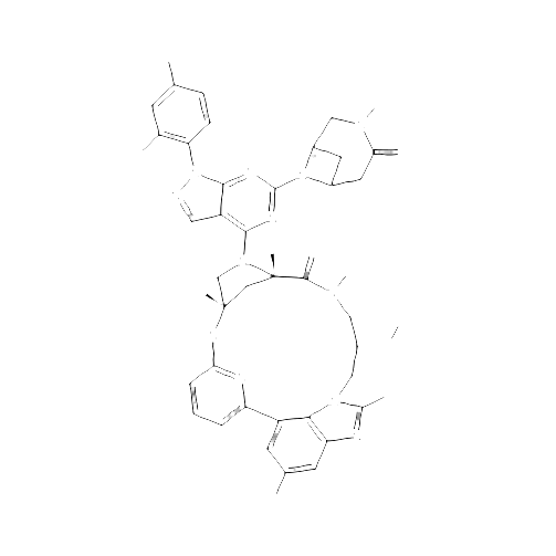 CO[C@H]1CN(C)C(=O)[C@@H]2C[C@@H](CN2c2nc(N3[C@@H]4CC(=O)N(C)C[C@H]3C4)nc3c2cnn3-c2ccc(F)cc2F)Nc2cccc(n2)-c2cc(F)cc3nc(C)n(c23)C1